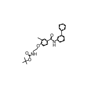 Cc1cc(C(=O)Nc2cccc(-c3ccccc3)c2)ccc1OCCNC(=O)OC(C)(C)C